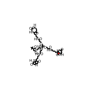 CC(C)(C)C1CC(=O)N(CCC(=O)NC(COCCC(=O)NCCCCC2NCC(=O)ONCCC2=O)(COCCC(=O)NCCCCC2C(=O)C[C@H]3CC(=O)CN2CC(=O)O3)COCCC(=O)NCCCCC2C(=O)C[C@@H]3CC(=O)C[C@]23N)C1=O